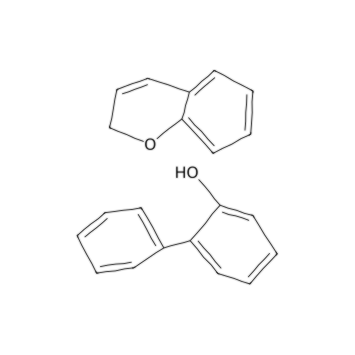 C1=Cc2ccccc2OC1.Oc1ccccc1-c1ccccc1